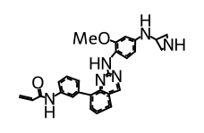 C=CC(=O)Nc1cccc(-c2cccc3cnc(Nc4ccc(NC5CNC5)cc4OC)nc23)c1